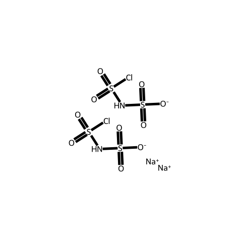 O=S(=O)([O-])NS(=O)(=O)Cl.O=S(=O)([O-])NS(=O)(=O)Cl.[Na+].[Na+]